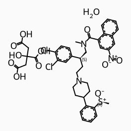 CN(C[C@@H](CCN1CCC(c2ccccc2[S@+](C)[O-])CC1)c1ccc(Cl)c(Cl)c1)C(=O)c1cc([N+](=O)[O-])cc2ccccc12.O.O=C(O)CC(O)(CC(=O)O)C(=O)O